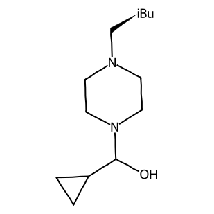 CC[C@H](C)CN1CCN(C(O)C2CC2)CC1